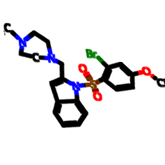 COc1ccc(S(=O)(=O)n2c(CN3CCN(C)CC3)cc3ccccc32)c(Br)c1